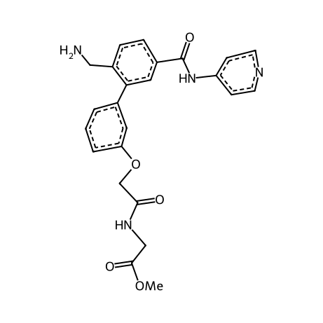 COC(=O)CNC(=O)COc1cccc(-c2cc(C(=O)Nc3ccncc3)ccc2CN)c1